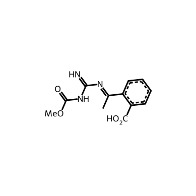 COC(=O)NC(=N)/N=C(\C)c1ccccc1C(=O)O